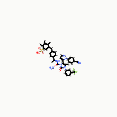 Cc1c(Cc2ccc(C(C)NC(=O)n3c(-c4ccnn4-c4ccc(C#N)cc4)c(C)n(-c4cccc(C(F)(F)F)c4)c3=O)cc2)cc(S(=O)(=O)O)c(C)c1C.N